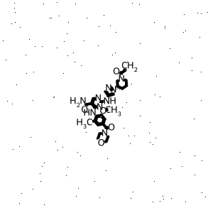 C=CC(=O)N1CCC[C@H](n2cc(Nc3ncc(C(N)=O)c(Nc4c(C)cc(C(=O)N5CCOCC5)cc4OC)n3)cn2)C1